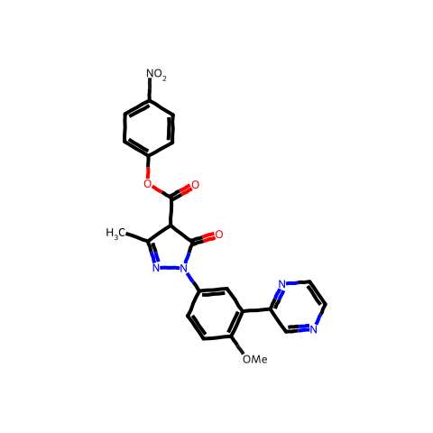 COc1ccc(N2N=C(C)C(C(=O)Oc3ccc([N+](=O)[O-])cc3)C2=O)cc1-c1cnccn1